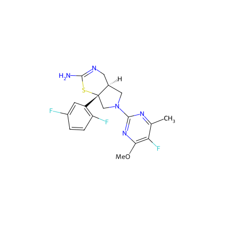 COc1nc(N2C[C@@H]3CN=C(N)S[C@@]3(c3cc(F)ccc3F)C2)nc(C)c1F